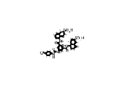 O=C(Nc1ccc(Cl)cc1)Nc1cc(C(=O)Nc2cccc3cc(S(=O)(=O)O)ccc23)cc(C(=O)Nc2cccc3cc(S(=O)(=O)O)ccc23)c1